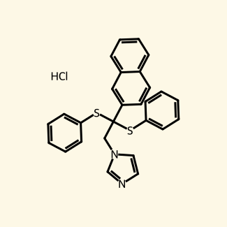 Cl.c1ccc(SC(Cn2ccnc2)(Sc2ccccc2)c2ccc3ccccc3c2)cc1